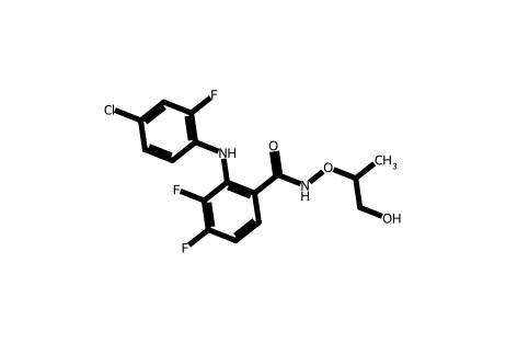 CC(CO)ONC(=O)c1ccc(F)c(F)c1Nc1ccc(Cl)cc1F